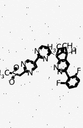 CC1(C)[C@H]2CC[C@]1(c1ccnc(-c3cnc(CS(C)(=O)=O)nc3)n1)c1nnc(-c3c(F)cccc3F)cc12